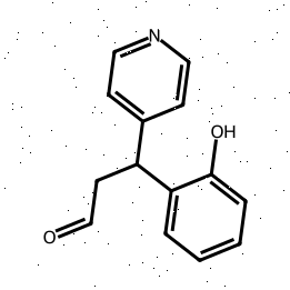 O=CCC(c1ccncc1)c1ccccc1O